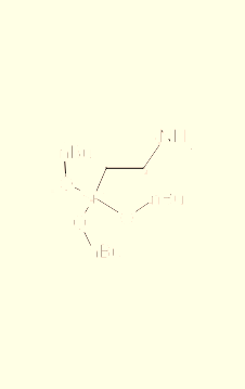 CCCCO[Si](CCN)(OCCCC)OCCCC